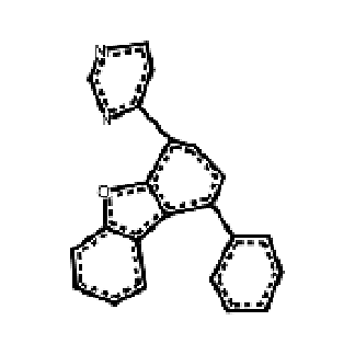 c1ccc(-c2ccc(-c3ccncn3)c3oc4ccccc4c23)cc1